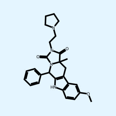 COc1ccc2[nH]c3c(c2c1)CC1(C)C(=O)N(CCN2CCCC2)C(=O)N1C3c1ccccc1